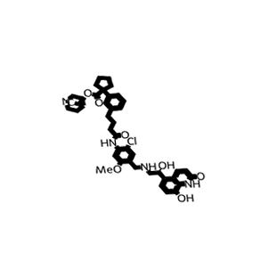 COc1cc(NC(=O)CCCc2cccc(C3(C(=O)OC4CN5CCC4CC5)CCCC3)c2)c(Cl)cc1CNC[C@H](O)c1ccc(O)c2[nH]c(=O)ccc12